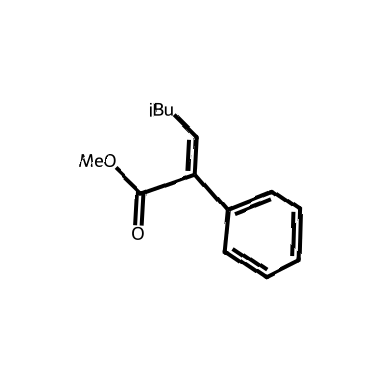 CCC(C)/C=C(\C(=O)OC)c1ccccc1